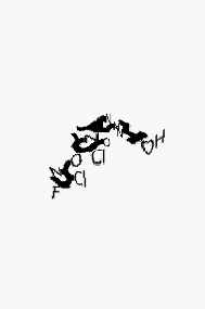 Cc1cnc(-n2ccc(C(C)(C)O)n2)cc1-n1c(C)cc(OCc2ncc(F)cc2Cl)c(Cl)c1=O